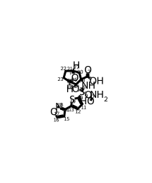 NO.O=C(O)[C@@]1(NS(=O)(=O)c2ccc(-c3ccon3)s2)C[C@H]2CC[C@@H](C1)O2